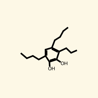 CCCCc1cc(CCCC)c(CCC)c(O)c1O